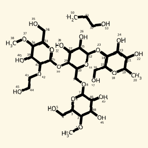 COC1C(CO)OC(OCC2OC(OC3C(CO)OC(C)C(O)C3O)C(O)C(O)C2OC2OC(CO)C(OC)C(O)C2OCCO)C(O)C1O.[CH2]CCO